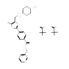 Cc1oc(-c2ccc(C(=O)NCc3cccnc3)cc2)nc1CS(=O)(=O)[C@H]1CC[C@H](N)CC1.O=C(O)C(F)(F)F.O=C(O)C(F)(F)F